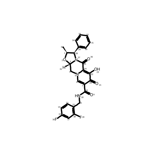 C[C@@H]1O[C@H]2Cn3cc(C(=O)NCc4ccc(F)cc4F)c(=O)c(O)c3C(=O)N2[C@@H]1c1ccccc1